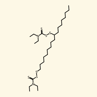 CCCCCCCCC(CCCCCCCCCSSC(=S)N(CC)CC)SSC(=S)N(CC)CC